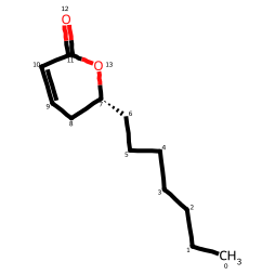 CCCCCCC[C@@H]1CC=CC(=O)O1